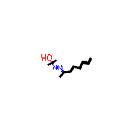 CCCCCCC(C)N=NC(C)(C)O